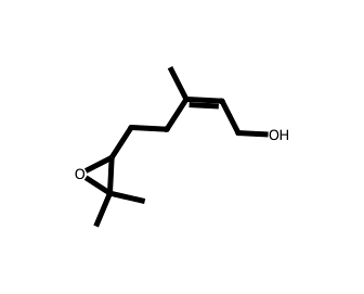 C/C(=C/CO)CCC1OC1(C)C